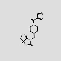 CC(C)CC1(C)NC(=N)N(CC2CCN(C(=O)c3ccsc3)CC2)C1=O